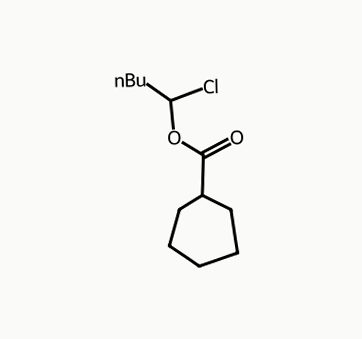 CCCCC(Cl)OC(=O)C1CCCCC1